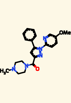 COc1ccc(-n2nc(C(=O)N3CCN(C)CC3)cc2-c2ccccc2)nc1